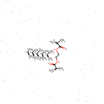 C=C(C)C(=O)OCCOC(=O)C(=C)C.C=CC.C=CC.C=CC.C=CC.C=CC